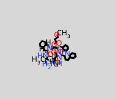 COCCC(=O)O[C@H](CN1C[C@H]2CCCC[C@H]2C[C@H]1C(=O)NC(C)(C)C)[C@H](Cc1ccccc1)NC(=O)[C@H](CC(N)=O)NC(=O)c1ccc2ccccc2n1